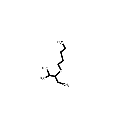 [CH2]CC(OCCCCC)C(C)C